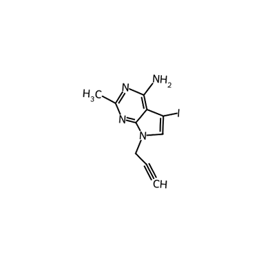 C#CCn1cc(I)c2c(N)nc(C)nc21